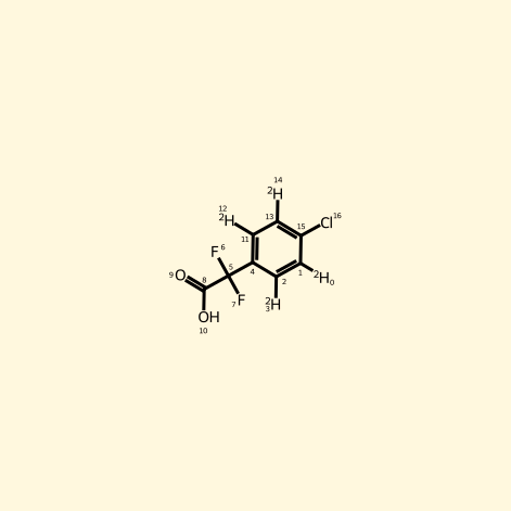 [2H]c1c([2H])c(C(F)(F)C(=O)O)c([2H])c([2H])c1Cl